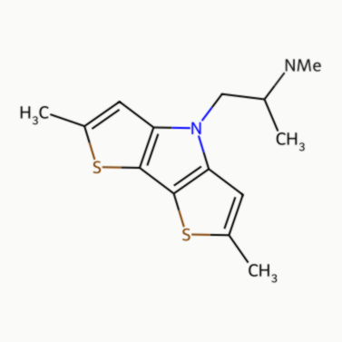 CNC(C)Cn1c2cc(C)sc2c2sc(C)cc21